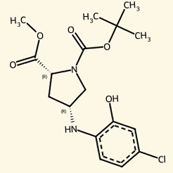 COC(=O)[C@H]1C[C@@H](Nc2ccc(Cl)cc2O)CN1C(=O)OC(C)(C)C